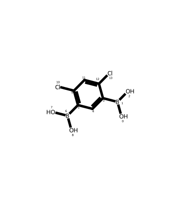 OB(O)c1cc(B(O)O)c(Cl)cc1Cl